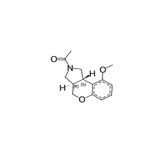 COc1cccc2c1[C@H]1CN(C(C)=O)C[C@@H]1CO2